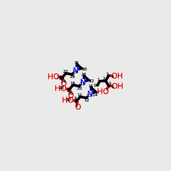 CCC(CO)C(O)O.O=C(O)CCN1CC1.O=C(O)CCN1CC1.O=C(O)CCN1CC1